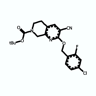 CC(C)(C)OC(=O)N1CCc2cc(C#N)c(OCc3ccc(Cl)cc3F)nc2C1